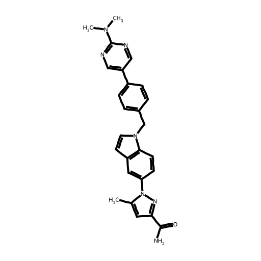 Cc1cc(C(N)=O)nn1-c1ccc2c(ccn2Cc2ccc(-c3cnc(N(C)C)nc3)cc2)c1